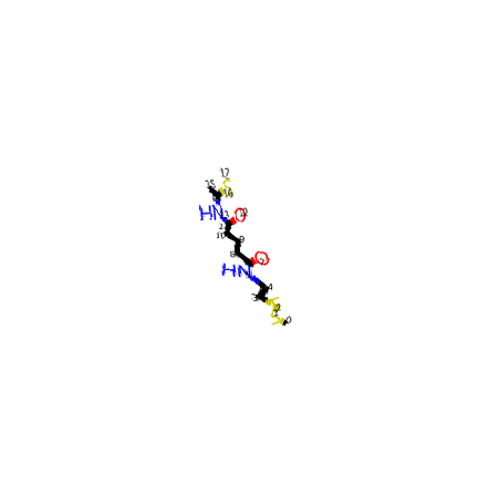 CSSCCNC(=O)CCCC(=O)NC(C)SC